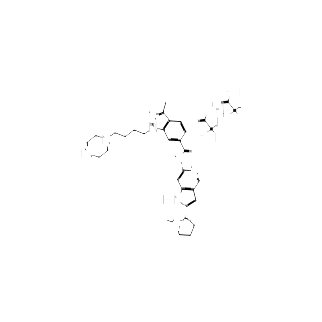 Cc1nn(CCCCN2CCNCC2)c2cc(C(=O)Nc3cc4[nH]c([C@@H]5CCCN5C)cc4cn3)ccc12.O=C(O)C(F)(F)F.O=C(O)C(F)(F)F